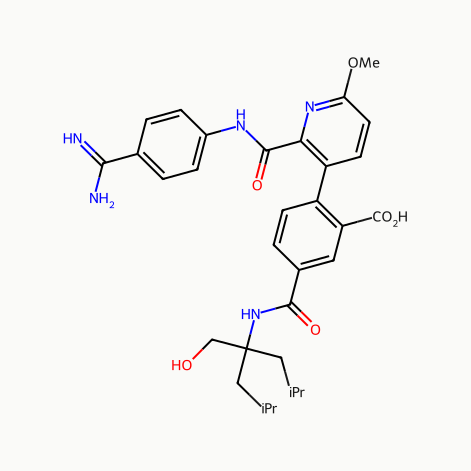 COc1ccc(-c2ccc(C(=O)NC(CO)(CC(C)C)CC(C)C)cc2C(=O)O)c(C(=O)Nc2ccc(C(=N)N)cc2)n1